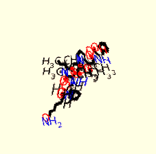 CC[C@H](C)[C@@H]([C@@H](CC(=O)N1CCC[C@H]1[C@H](OC)[C@@H](C)C(=O)N[C@@H](Cc1ccccc1)C(=O)O)OC)N(C)C(=O)[C@@H](NC(=O)[C@@H]1[C@H]2CC[C@@H]([C@H]2C)N1C(=O)CCCCCON)C(C)C